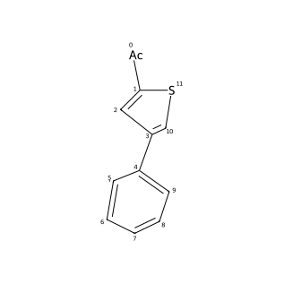 CC(=O)c1cc(-c2[c]cccc2)cs1